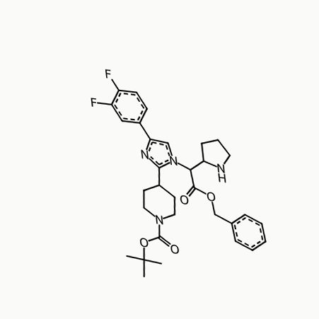 CC(C)(C)OC(=O)N1CCC(c2nc(-c3ccc(F)c(F)c3)cn2C(C(=O)OCc2ccccc2)C2CCCN2)CC1